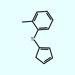 Cc1cccc[c]1[Ti][C]1=CC=CC1